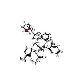 NC(=O)N(c1cccc(O)c1)[C@H]1N=C(c2ccccc2F)c2ccccc2N(CC(=O)N2CC3CCC(CC3)C2)C1=O